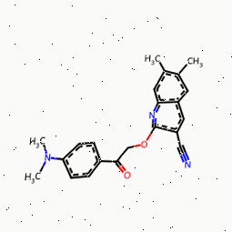 Cc1cc2cc(C#N)c(OCC(=O)c3ccc(N(C)C)cc3)nc2cc1C